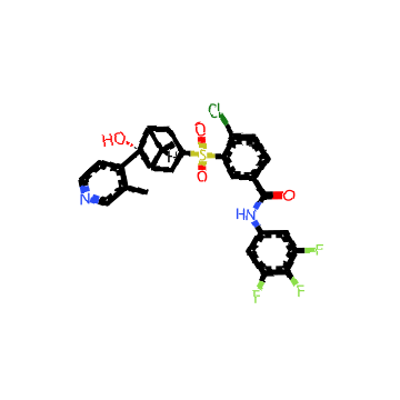 Cc1cnccc1[C@]1(O)C2CC(S(=O)(=O)c3cc(C(=O)Nc4cc(F)c(F)c(F)c4)ccc3Cl)CC1[C@@H]2C